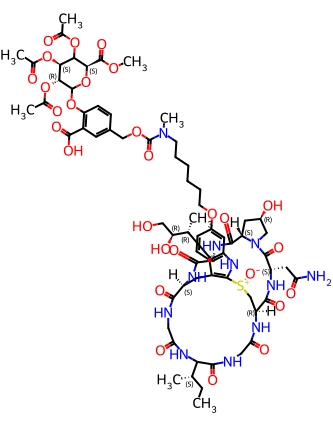 CC[C@H](C)C1NC(=O)CNC(=O)[C@@H]2Cc3c([nH]c4cc(OCCCCCCN(C)C(=O)OCc5ccc(OC6O[C@H](C(=O)OC)C(OC(C)=O)[C@H](OC(C)=O)[C@H]6OC(C)=O)c(C(=O)O)c5)ccc34)[S+]([O-])C[C@H](NC(=O)CNC1=O)C(=O)N[C@@H](CC(N)=O)C(=O)N1C[C@H](O)C[C@H]1C(=O)N[C@@H]([C@@H](C)[C@@H](O)CO)C(=O)N2